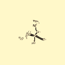 N#COS(=O)(=O)O.O.O.[BaH2]